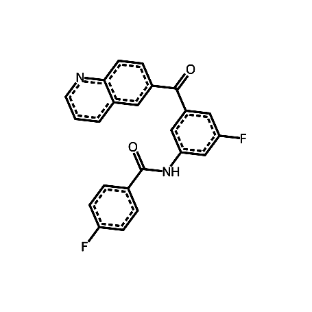 O=C(Nc1cc(F)cc(C(=O)c2ccc3ncccc3c2)c1)c1ccc(F)cc1